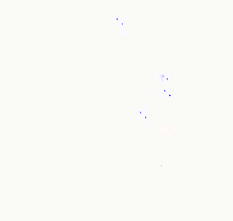 C=CCSCC(C)C(=O)N(C)c1nnc(-c2cccnc2)s1